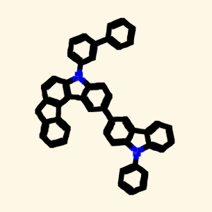 c1ccc(-c2cccc(-n3c4ccc(-c5ccc6c(c5)c5ccccc5n6-c5ccccc5)cc4c4c5c(ccc43)Cc3ccccc3-5)c2)cc1